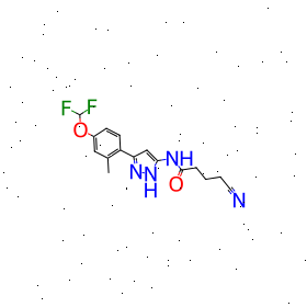 Cc1cc(OC(F)F)ccc1-c1cc(NC(=O)CCCC#N)[nH]n1